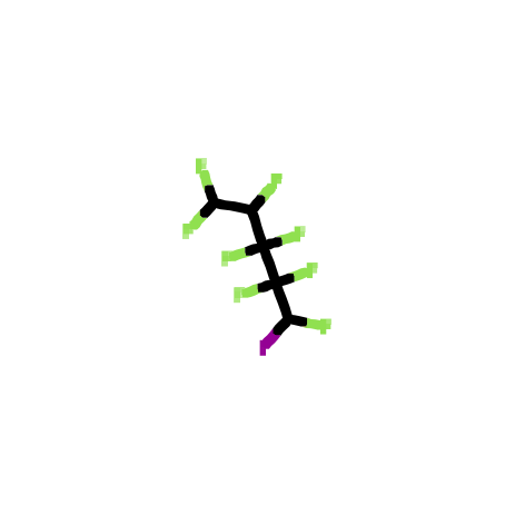 FC(F)C(F)C(F)(F)C(F)(F)C(F)I